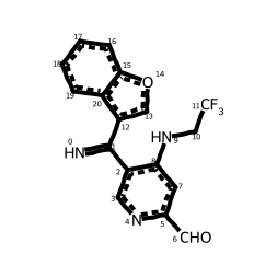 N=C(c1cnc(C=O)cc1NCC(F)(F)F)c1coc2ccccc12